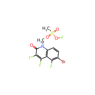 CS(=O)(=O)OF.Cn1c(=O)c(F)c(F)c2c(F)c(Br)ccc21